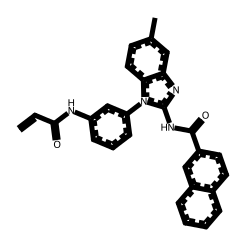 C=CC(=O)Nc1cccc(-n2c(NC(=O)c3ccc4ccccc4c3)nc3cc(C)ccc32)c1